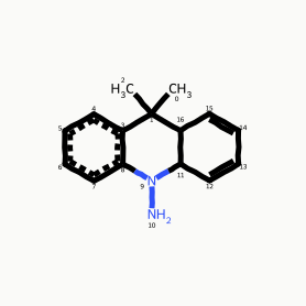 CC1(C)c2ccccc2N(N)C2C=CC=CC21